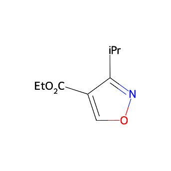 CCOC(=O)c1conc1C(C)C